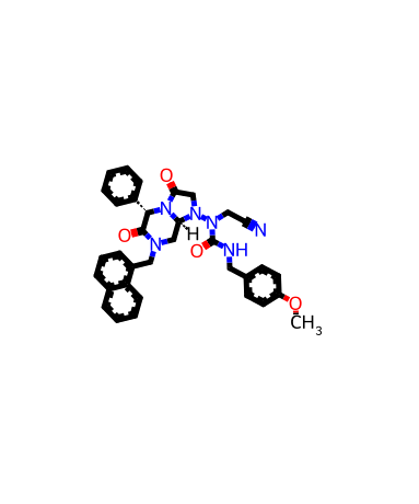 COc1ccc(CNC(=O)N(CC#N)N2CC(=O)N3[C@@H](c4ccccc4)C(=O)N(Cc4cccc5ccccc45)C[C@@H]32)cc1